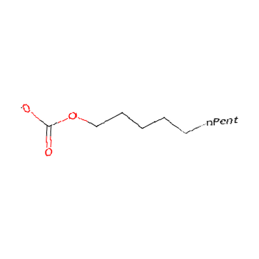 CCCCCCCCCCOC([O])=O